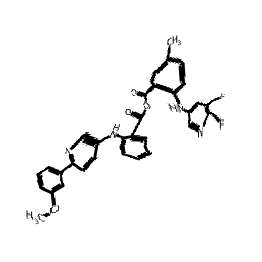 COc1cccc(-c2ccc(Nc3ccccc3C(=O)OC(=O)c3cc(C)ccc3Nc3cnc(F)c(F)c3)cn2)c1